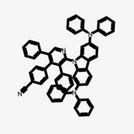 N#Cc1ccc(-c2c(-c3ccccc3)cnc(-n3c4cc(N(c5ccccc5)c5ccccc5)ccc4c4ccc(N(c5ccccc5)c5ccccc5)cc43)c2-c2ccccc2)cc1